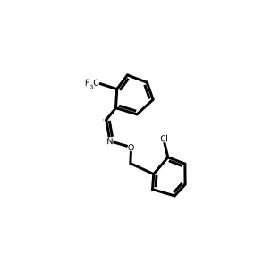 FC(F)(F)c1ccccc1/[C]=N\OCc1ccccc1Cl